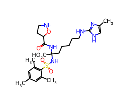 Cc1cc(C)c(S(=O)(=O)NC(CCCCCNc2nc(C)c[nH]2)(NC(=O)C2CCNO2)C(=O)O)c(C)c1